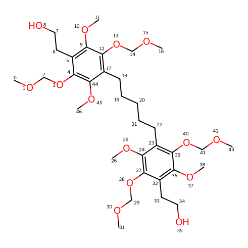 COCOc1c(CCO)c(OC)c(OCOC)c(CCCCCc2c(OC)c(OCOC)c(CCO)c(OC)c2OCOC)c1OC